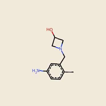 Cc1ccc(N)cc1CN1CC(O)C1